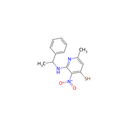 Cc1cc(S)c([N+](=O)[O-])c(NC(C)c2ccccc2)n1